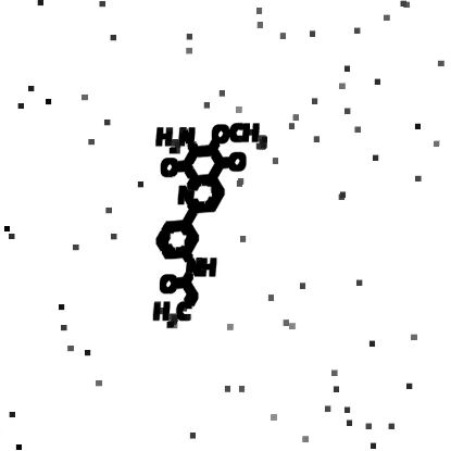 C=CC(=O)Nc1cccc(-c2ccc3c(n2)C(=O)C(N)=C(OC)C3=O)c1